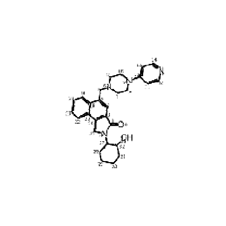 O=C1c2cc(CN3CCN(c4ccncc4)CC3)c3ccccc3c2CN1C1CCCCC1O